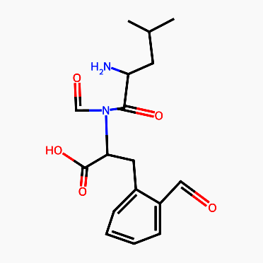 CC(C)CC(N)C(=O)N(C=O)C(Cc1ccccc1C=O)C(=O)O